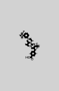 CC(C)C1CN(c2ccc(F)c(S(C)(=O)=O)c2)CCN1c1ncc(Cc2ccc(C(=O)O)cc2)c(C(F)(F)F)n1